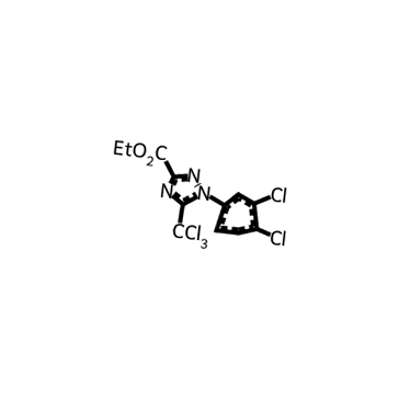 CCOC(=O)c1nc(C(Cl)(Cl)Cl)n(-c2ccc(Cl)c(Cl)c2)n1